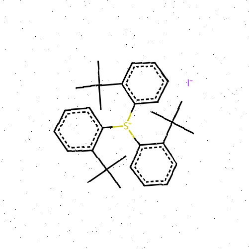 CC(C)(C)c1ccccc1[S+](c1ccccc1C(C)(C)C)c1ccccc1C(C)(C)C.[I-]